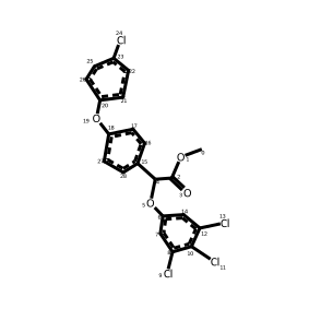 COC(=O)C(Oc1cc(Cl)c(Cl)c(Cl)c1)c1ccc(Oc2ccc(Cl)cc2)cc1